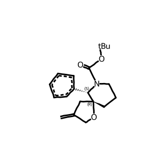 C=C1CO[C@]2(CCCN(C(=O)OC(C)(C)C)[C@H]2c2ccccc2)C1